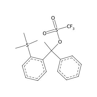 CC(OS(=O)(=O)C(F)(F)F)(c1ccccc1)c1ccccc1S(C)(C)C